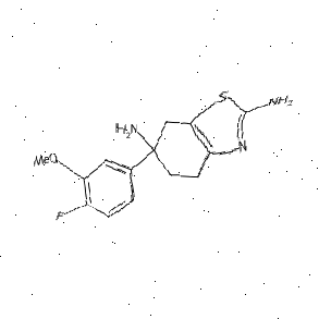 COc1cc(C2(N)CCc3nc(N)sc3C2)ccc1F